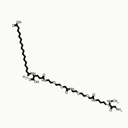 C=C(CCCCCCCCCCCCCCCCC(=O)O)NC(CCC(=O)NCCOCCOCC(=O)NCCOCCOCC(=O)NCCCC[C@H](NC)C(=O)CN)C(=O)O